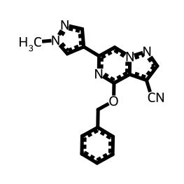 Cn1cc(-c2cn3ncc(C#N)c3c(OCc3ccccc3)n2)cn1